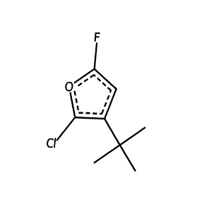 CC(C)(C)c1cc(F)oc1Cl